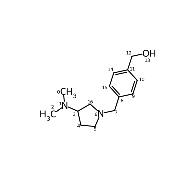 CN(C)C1CCN(Cc2ccc(CO)cc2)C1